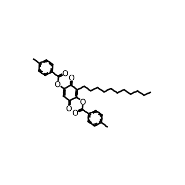 CCCCCCCCCCCC1=C(OC(=O)c2ccc(C)cc2)C(=O)C=C(OC(=O)c2ccc(C)cc2)C1=O